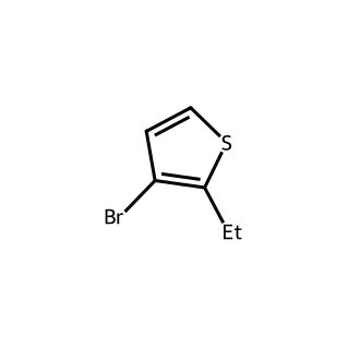 CCc1sccc1Br